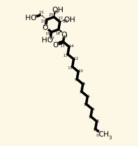 CCCCCCCCCCCCCCCC(=O)O[C@H]1C(O)O[C@H](CO)[C@@H](O)[C@@H]1O